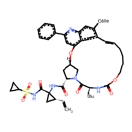 C=C[C@@H]1C[C@]1(NC(=O)[C@@H]1C[C@@H]2CN1C(=O)[C@H](C(C)(C)C)NC(=O)OCCCC/C=C/c1cc3c(cc(-c4ccccc4)nc3cc1OC)O2)C(=O)NS(=O)(=O)C1CC1